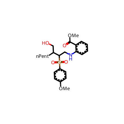 CCCCCC(CO)C(CNc1ccccc1C(=O)OC)S(=O)(=O)c1ccc(OC)cc1